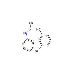 N#CCNc1ccccc1.N#Cc1cccc(C#N)c1